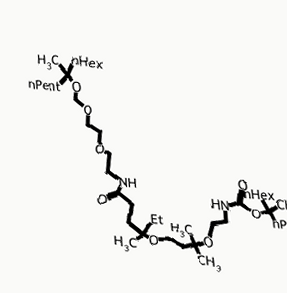 CCCCCCC(C)(CCCCC)OCOCCOCCNC(=O)CCC(C)(CC)OCCC(C)(C)OCCNC(=O)OC(C)(CCCCC)CCCCCC